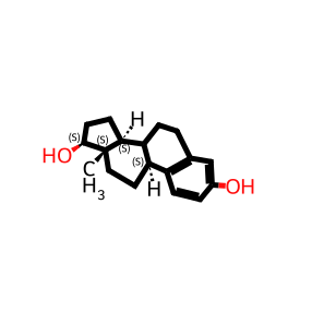 C[C@]12CC[C@@H]3c4ccc(O)cc4CCC3[C@@H]1CC[C@@H]2O